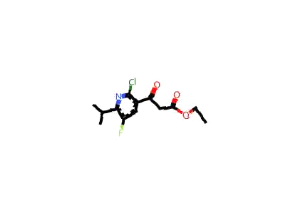 CCOC(=O)CC(=O)c1cc(F)c(C(C)C)nc1Cl